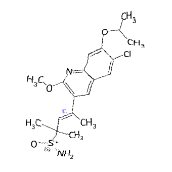 COc1nc2cc(OC(C)C)c(Cl)cc2cc1/C(C)=C/C(C)(C)[S@+](N)[O-]